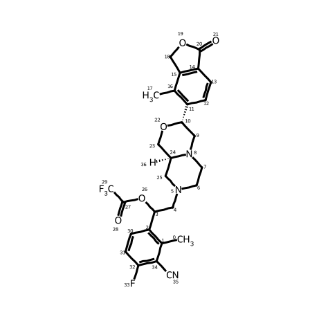 Cc1c(C(CN2CCN3C[C@@H](c4ccc5c(c4C)COC5=O)OC[C@@H]3C2)OC(=O)C(F)(F)F)ccc(F)c1C#N